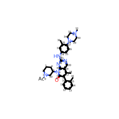 CC(=O)N1CCCC(n2c(=O)c(-c3ccccc3C)c(C)c3cnc(Nc4ccc(N5CCN(C)CC5)c(C)c4)nc32)C1